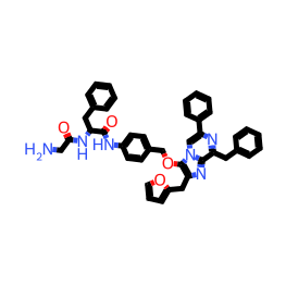 NCC(=O)NC(Cc1ccccc1)C(=O)Nc1ccc(COc2c(Cc3ccco3)nc3c(Cc4ccccc4)nc(-c4ccccc4)cn23)cc1